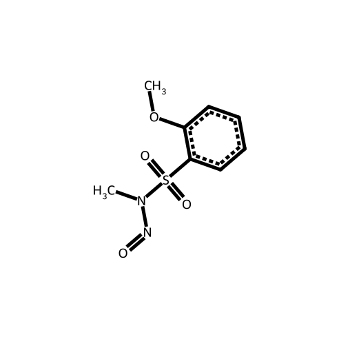 COc1ccccc1S(=O)(=O)N(C)N=O